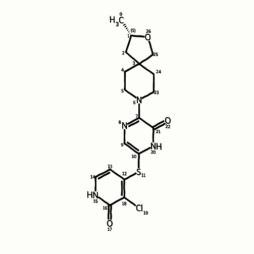 C[C@H]1CC2(CCN(c3ncc(Sc4cc[nH]c(=O)c4Cl)[nH]c3=O)CC2)CO1